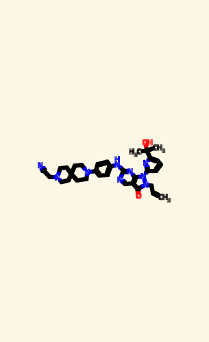 C=CCn1c(=O)c2cnc(Nc3ccc(N4CCC5(CCN(CC#N)CC5)CC4)cc3)nc2n1-c1cccc(C(C)(C)O)n1